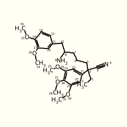 CCC(C#N)(CCCC(N)Cc1ccc(OC)c(OC)c1)c1cc(OC)c(OC)c(OC)c1